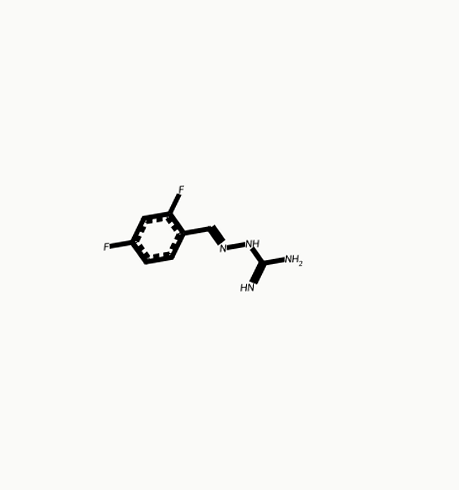 N=C(N)N/N=C/c1ccc(F)cc1F